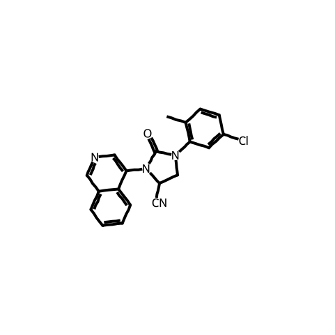 Cc1ccc(Cl)cc1N1CC(C#N)N(c2cncc3ccccc23)C1=O